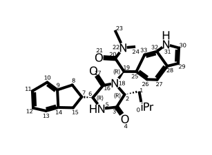 CC(C)C[C@@H]1C(=O)N[C@H](C2Cc3ccccc3C2)C(=O)N1[C@@H](C(=O)N(C)C)c1ccc2cc[nH]c2c1